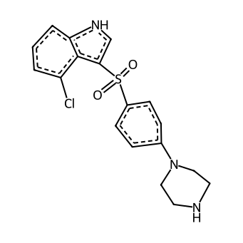 O=S(=O)(c1ccc(N2CCNCC2)cc1)c1c[nH]c2cccc(Cl)c12